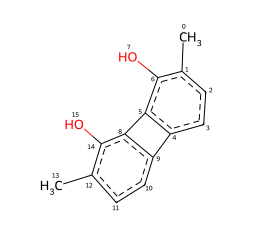 Cc1ccc2c(c1O)-c1c-2ccc(C)c1O